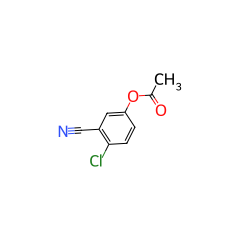 CC(=O)Oc1ccc(Cl)c(C#N)c1